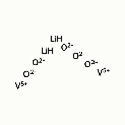 [LiH].[LiH].[O-2].[O-2].[O-2].[O-2].[O-2].[V+5].[V+5]